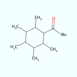 CCC(C)C(=O)C1C(C)C(C)C(C)C(C)C1C